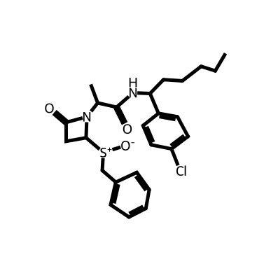 CCCCCC(NC(=O)C(C)N1C(=O)CC1[S+]([O-])Cc1ccccc1)c1ccc(Cl)cc1